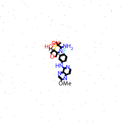 COc1cnc2c(Nc3ccc(F)c([C@]45COC[C@H]4S(O)(O)C(C)(C)C(N)=N5)c3)nccc2n1